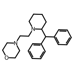 c1ccc(C(c2ccccc2)C2CCCCN2CCN2CCOCC2)cc1